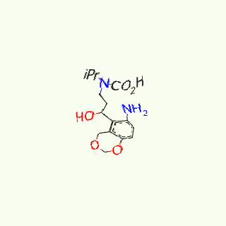 CC(C)N(CCC(O)c1c(N)ccc2c1COCO2)C(=O)O